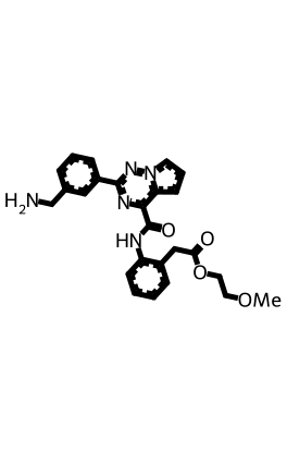 COCCOC(=O)Cc1ccccc1NC(=O)c1nc(-c2cccc(CN)c2)nn2cccc12